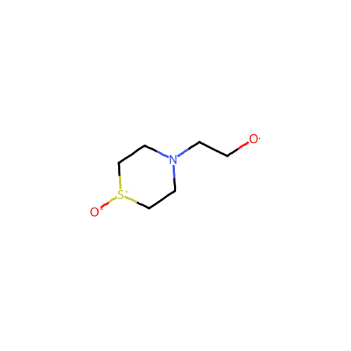 [O]CCN1CC[S+]([O-])CC1